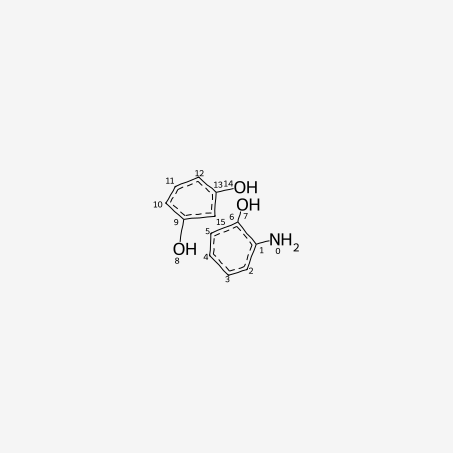 Nc1ccccc1O.Oc1cccc(O)c1